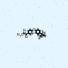 CNC(=O)c1ccc(Oc2ccc(C(F)(C(F)(F)F)C(F)(F)F)cc2)nc1